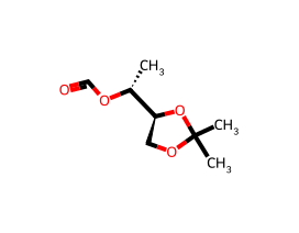 C[C@@H](OC=O)[C@@H]1COC(C)(C)O1